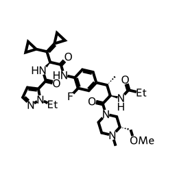 CCC(=O)N[C@@H](C(=O)N1CCN(C)[C@@H](COC)C1)[C@@H](C)c1ccc(NC(=O)[C@@H](NC(=O)c2ccnn2CC)C(=C2CC2)C2CC2)c(F)c1